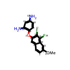 COc1ccc2cc(Oc3ccc(N)cc3N)c(F)c(F)c2c1